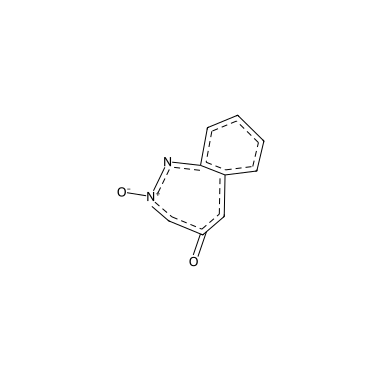 O=c1cc2ccccc2n[n+]([O-])c1